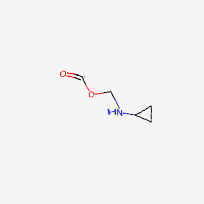 O=[C]OCNC1CC1